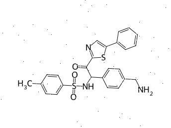 Cc1ccc(S(=O)(=O)NC(C(=O)c2ncc(-c3ccccc3)s2)c2ccc(CN)cc2)cc1